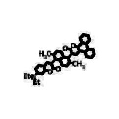 CCN(CC)c1ccc2cc(-c3c(C)ccc4c(-c5cc6c7ccccc7c7ccccc7c6oc5=O)c(C)ccc34)c(=O)oc2c1